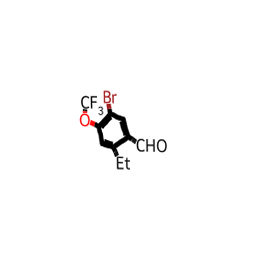 CCc1cc(OC(F)(F)F)c(Br)cc1C=O